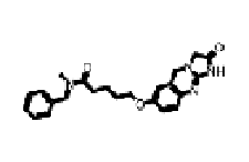 CN(Cc1ccccc1)C(=O)CCCCOc1ccc2c(c1)CN1CC(=O)NC1=N2